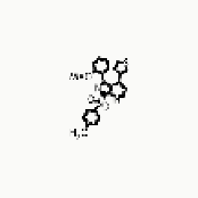 COc1ccccc1-c1nn(S(=O)(=O)c2ccc(C)cc2)c2nccc(-c3ccsc3)c12